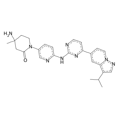 CC(C)c1cnn2ccc(-c3ccnc(Nc4ccc(N5CCC(C)(N)CC5=O)cn4)n3)cc12